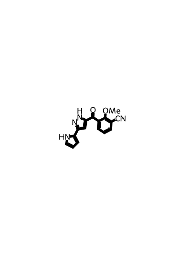 COc1c(C#N)cccc1C(=O)c1cc(-c2ccc[nH]2)n[nH]1